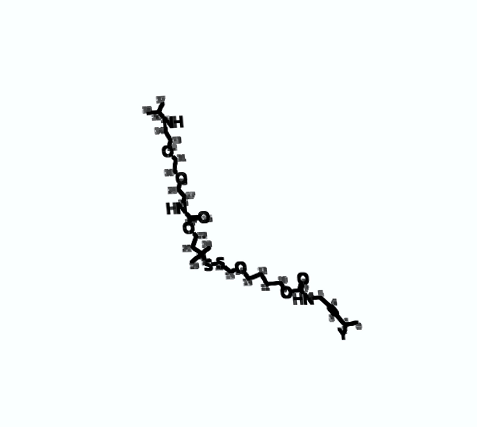 C[CH]([Y])C#CCNC(=O)OCCCCOCSSC(C)(C)CCOC(=O)NCCOCCOCCNC(C)C